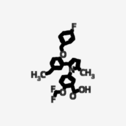 CCc1ccc(OCc2ccc(F)cc2)c(-c2ccc(C)n2-c2ccc(OC(F)F)c(C(=O)O)c2)c1